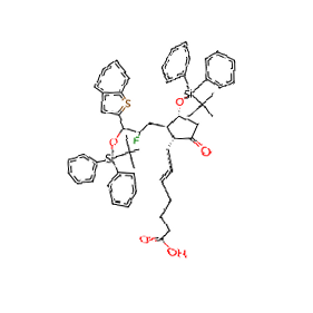 CC(C)(C)[Si](OC(c1cc2ccccc2s1)C(F)C[C@H]1[C@H](O[Si](c2ccccc2)(c2ccccc2)C(C)(C)C)CC(=O)[C@@H]1CC=CCCCC(=O)O)(c1ccccc1)c1ccccc1